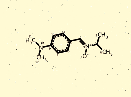 CC(C)[N+]([O-])=Cc1ccc(N(C)C)cc1